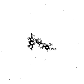 COc1ccc(C(=O)NC2CC(C[C@H](C)Oc3nc4c(cc3C(N)=O)COCC4)C2)cc1C#N